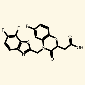 O=C(O)CC1Sc2ccc(F)cc2N(Cc2nc3ccc(F)c(F)c3s2)C1=O